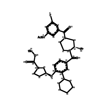 CC(=O)Nc1cc(F)cc(C(=O)N2CCN(C(=O)c3ccc(O[C@H]4CCN(C(=O)OC(C)(C)C)C4)c(C4CCCCC4)c3)[C@@H](C(C)C)C2)c1